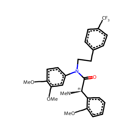 CN[C@@H](C(=O)N(CCc1ccc(C(F)(F)F)cc1)c1ccc(OC)c(OC)c1)c1ccccc1OC